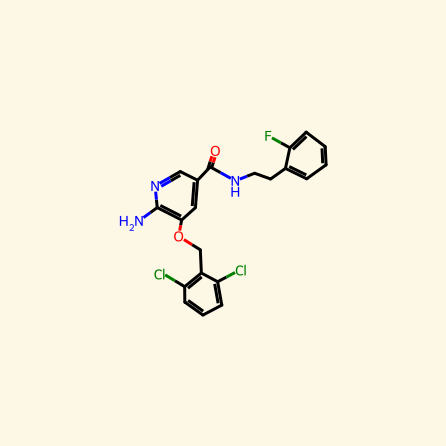 Nc1ncc(C(=O)NCCc2ccccc2F)cc1OCc1c(Cl)cccc1Cl